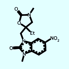 CCC1(Cn2c(=O)n(C)c3ccc([N+](=O)[O-])cc32)CN(C)C(=O)O1